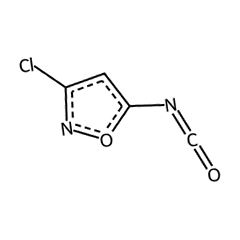 O=C=Nc1cc(Cl)no1